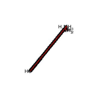 CC(CN)C(=O)OCCC(COCCOCCOCCOCCOCCOCCOCCOCCOCCOCCOCCOCCOCCOCCOCCOCCOCCOCCOCCOCCOCCOCCOCCOCCOCCOCCOCCOCCOCCOCCOCCOCCOCCOCCOCCOCCOCCOCCOCCOCCOCCOCCOCCO)OC(=O)C(C)CN